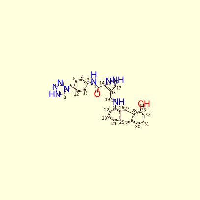 O=C(Nc1ccc(N2CNN=N2)cc1)c1n[nH]cc1CNc1ccccc1Cc1ccccc1O